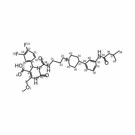 COCC1=C(C(=O)O)C(c2ccc(F)c(F)c2)N(C(=O)NCCCN2CCC(c3cccc(NC(=O)CC(C)C)c3)CC2)C(=O)N1